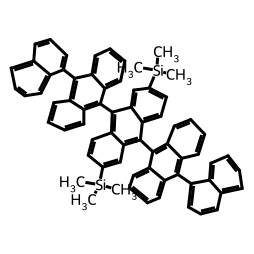 C[Si](C)(C)c1ccc2c(-c3c4ccccc4c(-c4cccc5ccccc45)c4ccccc34)c3cc([Si](C)(C)C)ccc3c(-c3c4ccccc4c(-c4cccc5ccccc45)c4ccccc34)c2c1